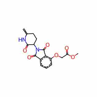 C=C1CCC(N2C(=O)c3cccc(OCC(=O)OC)c3C2=O)C(=O)N1